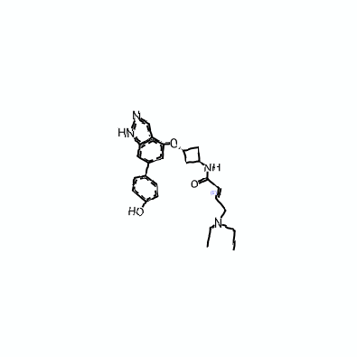 CCN(CC)C/C=C/C(=O)N[C@H]1C[C@H](Oc2cc(-c3ccc(O)cc3)cc3[nH]ncc23)C1